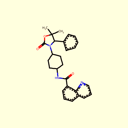 CC1(C)OC(=O)N(C2CCC(NC(=O)c3cccc4cccnc34)CC2)C1c1ccccc1